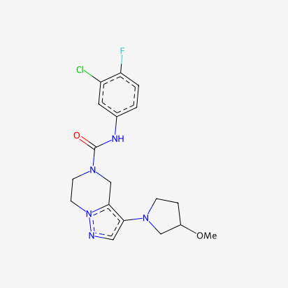 COC1CCN(c2cnn3c2CN(C(=O)Nc2ccc(F)c(Cl)c2)CC3)C1